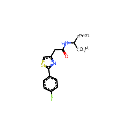 CCCCCC(NC(=O)Cc1csc(-c2ccc(F)cc2)n1)C(=O)O